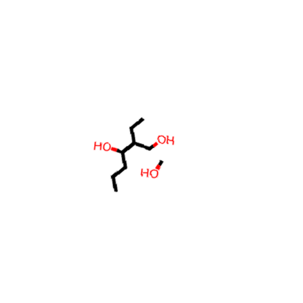 CCCC(O)C(CC)CO.CO